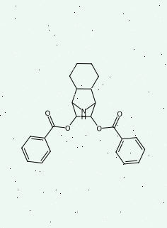 O=C(OC1C2NC(C3CCCCC32)C1OC(=O)c1ccccc1)c1ccccc1